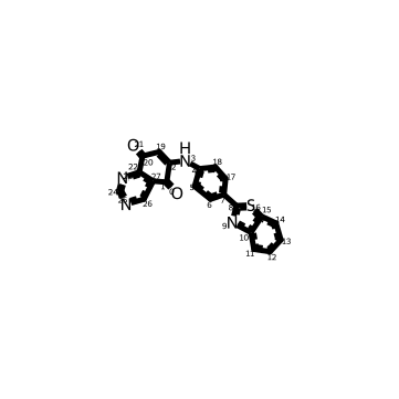 O=C1C(Nc2ccc(-c3nc4ccccc4s3)cc2)=CC(=O)c2ncncc21